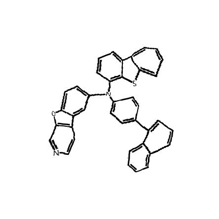 c1ccc2c(-c3ccc(N(c4ccc5oc6cnccc6c5c4)c4cccc5c4sc4ccccc45)cc3)cccc2c1